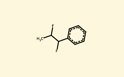 CC(F)C(F)c1cc[c]cc1